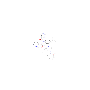 CC(C)CC1(NC(=O)C(c2cccnc2)N(C(=O)c2c[nH]cn2)c2ccc(C(C)(C)C)cc2)CCCN(C2CCCCC2O)C1